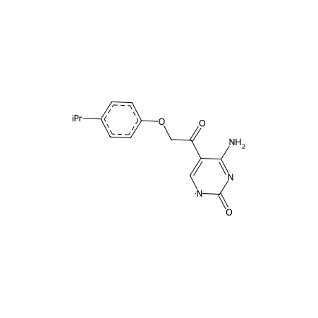 CC(C)c1ccc(OCC(=O)C2=C[N]C(=O)N=C2N)cc1